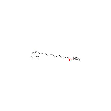 CCCCCCCC/C=C\CCCCCCCCO[N+](=O)[O-]